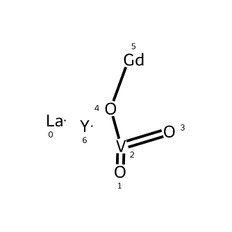 [La].[O]=[V](=[O])[O][Gd].[Y]